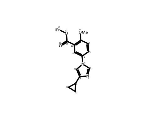 COc1ccc(-n2cnc(C3CC3)c2)cc1C(=O)OC(C)C